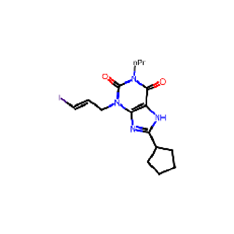 CCCn1c(=O)c2[nH]c(C3CCCC3)nc2n(CC=CI)c1=O